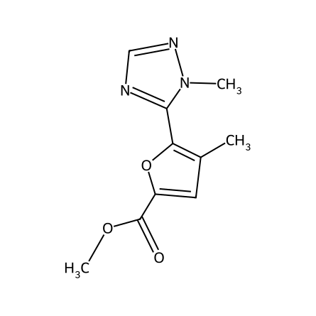 COC(=O)c1cc(C)c(-c2ncnn2C)o1